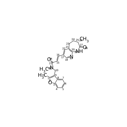 Cc1oc2ccccc2c1CN(C)C(=O)/C=C/c1cnc2c(c1)CC[C@H](C)C(=O)N2